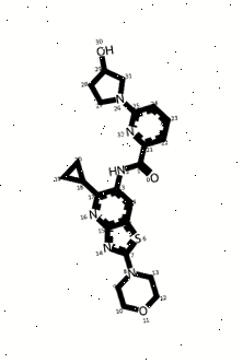 O=C(Nc1cc2sc(N3CCOCC3)nc2nc1C1CC1)c1cccc(N2CCC(O)C2)n1